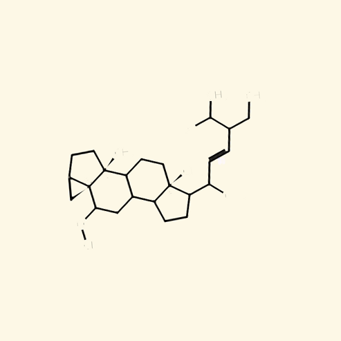 CCC(/C=C/C(C)C1CCC2C3CC(OC)[C@]45CC4CC[C@]5(C)C3CC[C@]12C)C(C)C